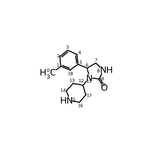 Cc1cccc(C2CNC(=O)N2C2CCNCC2)c1